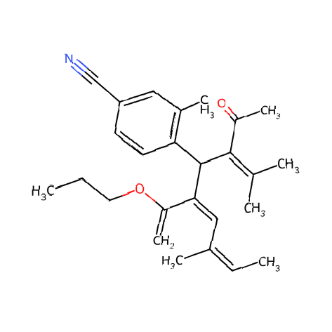 C=C(OCCC)/C(=C\C(C)=C/C)C(C(C(C)=O)=C(C)C)c1ccc(C#N)cc1C